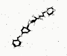 O=C(COc1ccc(OCc2ccccc2)cc1)NCCCN1CCOCC1